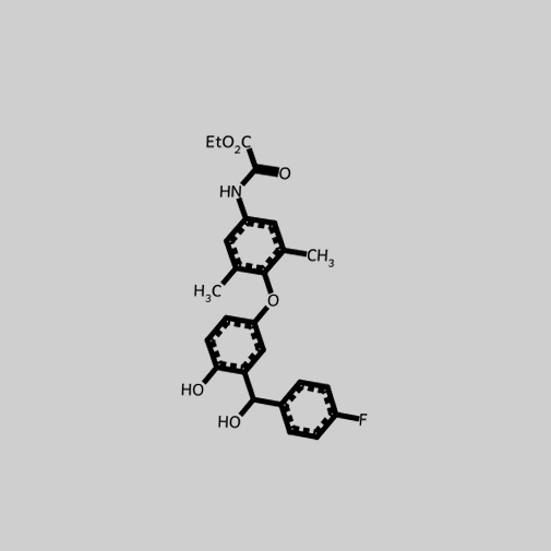 CCOC(=O)C(=O)Nc1cc(C)c(Oc2ccc(O)c(C(O)c3ccc(F)cc3)c2)c(C)c1